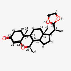 C[C@H](C1OCCO1)[C@H]1CCC2C3C(CC[C@@]21C)[C@@]1(C)CCC(=O)C=C1O[C@@H]3C